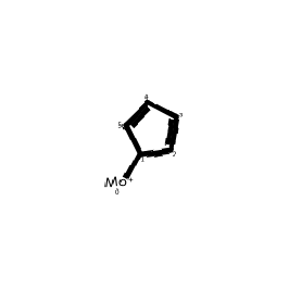 [Mo+][CH]1C=CC=C1